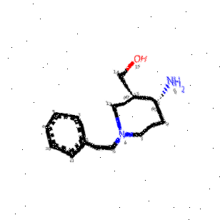 N[C@@H]1CCN(Cc2ccccc2)C[C@H]1CO